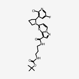 CC(C)(C)OC(=O)NCCCNC(=O)c1cnn2ccc(N3CCCC3c3cc(F)cnc3Cl)nc12